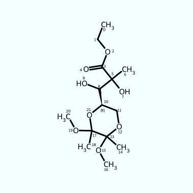 CCOC(=O)C(C)(O)C(O)[C@H]1COC(C)(OC)C(C)(OC)O1